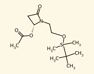 CC(=O)O[C@@H]1CC(=O)N1CCO[Si](C)(C)C(C)(C)C